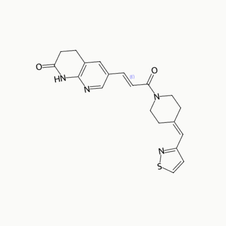 O=C1CCc2cc(/C=C/C(=O)N3CCC(=Cc4ccsn4)CC3)cnc2N1